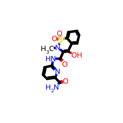 CN1C(C(=O)Nc2cccc(C(N)=O)n2)=C(O)c2ccccc2S1(=O)=O